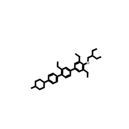 CCc1cc(-c2cc(CC)c(OCC(CC)CC)c(CC)c2)ccc1-c1ccc(C2CCC(C)CC2)cc1